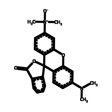 CN(C)c1ccc2c(c1)Oc1cc([N+](C)(C)[O-])ccc1C21OC(=O)c2ccccc21